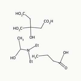 CCCC(=O)O.CCN(CC)C(C)O.O=C(O)CC(O)(CC(=O)O)C(=O)O